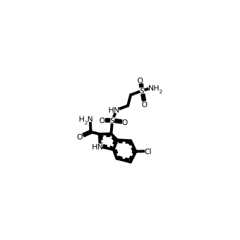 NC(=O)c1[nH]c2ccc(Cl)cc2c1S(=O)(=O)NCCS(N)(=O)=O